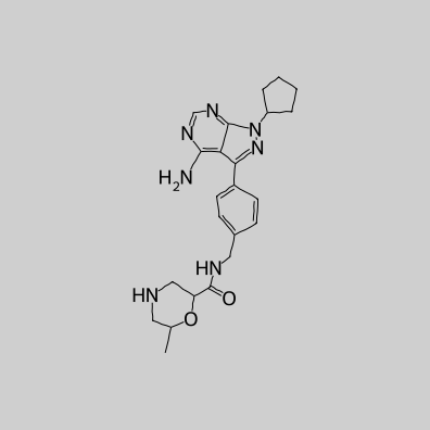 CC1CNCC(C(=O)NCc2ccc(-c3nn(C4CCCC4)c4ncnc(N)c34)cc2)O1